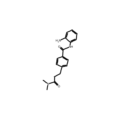 CN(C)C(=O)[CH]Cc1ccc(C(=O)Nc2ccccc2N)cc1